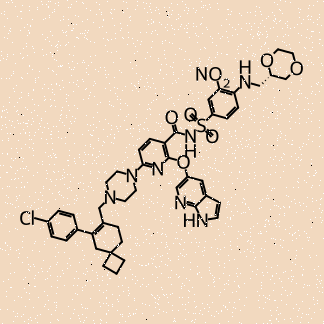 O=C(NS(=O)(=O)c1ccc(NC[C@H]2COCCO2)c([N+](=O)[O-])c1)c1ccc(N2CCN(CC3=C(c4ccc(Cl)cc4)CC4(CCC4)CC3)CC2)nc1Oc1cnc2[nH]ccc2c1